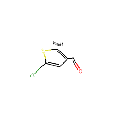 O=Cc1csc(Cl)c1.[NaH]